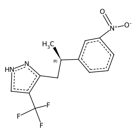 C[C@H](Cc1n[nH]cc1C(F)(F)F)c1cccc([N+](=O)[O-])c1